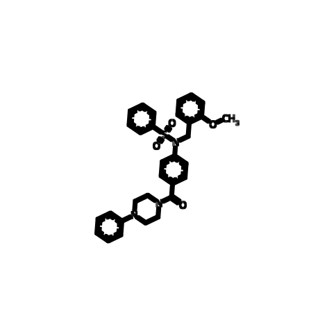 COc1ccccc1CN(c1ccc(C(=O)N2CCN(c3ccccc3)CC2)cc1)S(=O)(=O)c1ccccc1